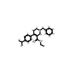 CCOC(=O)C1=C(c2ccc(C(C)C)cc2)CCN(Cc2ccccc2)C1